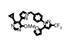 COc1ncnc(C2CC2)c1-c1ccn(Cc2ccc(-n3nc(C(F)(F)F)cc3-c3ccco3)cc2)n1